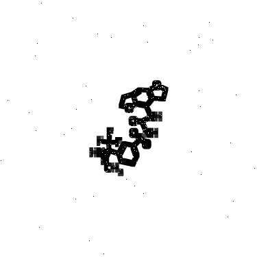 CN1NC1(c1cccc(S(=O)(=O)NC(=O)Nc2c3c(cc4c2OCC4)OCC3)c1)C(F)(F)F